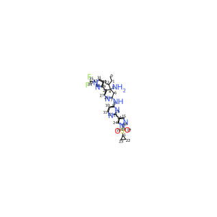 CCC(C)C1(N)CC(Nc2ccnc(-c3cnn(S(=O)(=O)C4CC4)c3)n2)=NC=C1c1ccn(C(F)F)n1